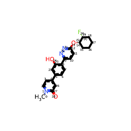 Cn1ccc(-c2ccc(-c3ccc(O[C@H]4CCCC[C@H]4F)nn3)c(O)c2)cc1=O